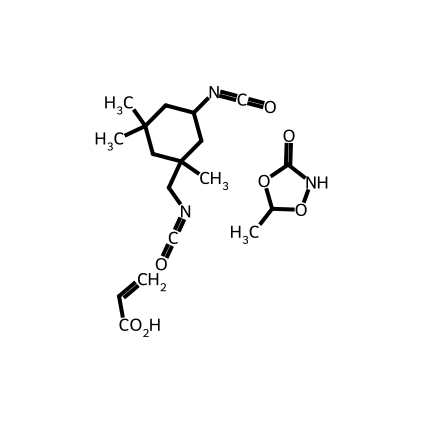 C=CC(=O)O.CC1(C)CC(N=C=O)CC(C)(CN=C=O)C1.CC1ONC(=O)O1